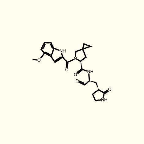 COc1cccc2[nH]c(C(=O)N3CC4(CC4)C[C@H]3C(=O)N[C@H](C=O)C[C@@H]3CCNC3=O)cc12